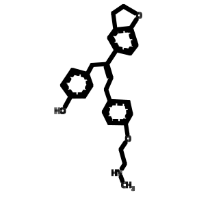 CNCCOc1ccc(CC=C(Cc2ccc(O)cc2)c2ccc3c(c2)CCO3)cc1